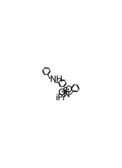 CC(C)N(Cc1ccccc1)S(=O)(=O)c1cccc(CNCc2ccccc2)c1